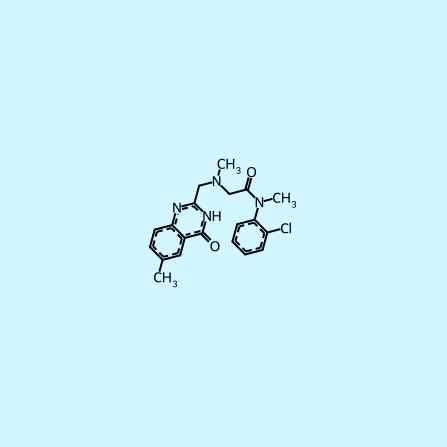 Cc1ccc2nc(CN(C)CC(=O)N(C)c3ccccc3Cl)[nH]c(=O)c2c1